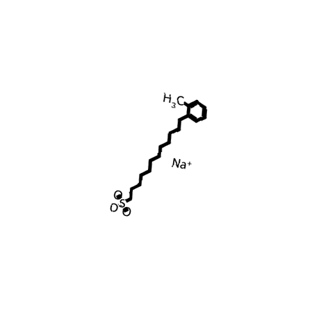 Cc1ccccc1CCCCCCCCCCCCS(=O)(=O)[O-].[Na+]